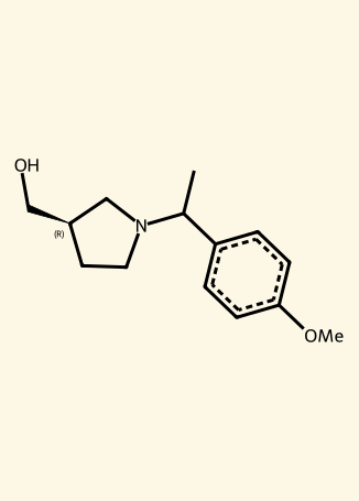 COc1ccc(C(C)N2CC[C@@H](CO)C2)cc1